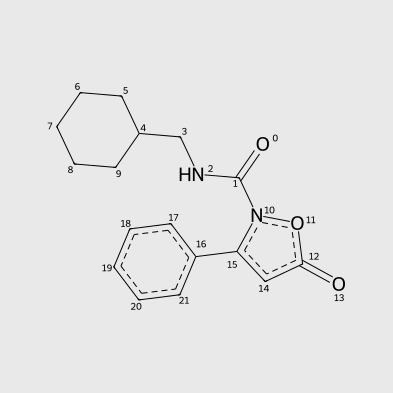 O=C(NCC1CCCCC1)n1oc(=O)cc1-c1ccccc1